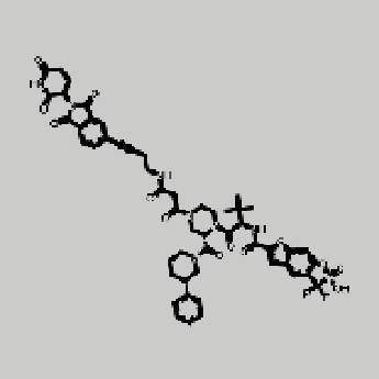 CC(C)(C)C(NC(=O)c1cc2cc(C(F)(F)P(=O)(O)O)ccc2s1)C(=O)N1CCN(C(=O)CC(=O)NCCC#Cc2ccc3c(c2)C(=O)N(C2CCC(=O)NC2=O)C3=O)C[C@H]1C(=O)N1CCC[C@H](c2ccccc2)C1